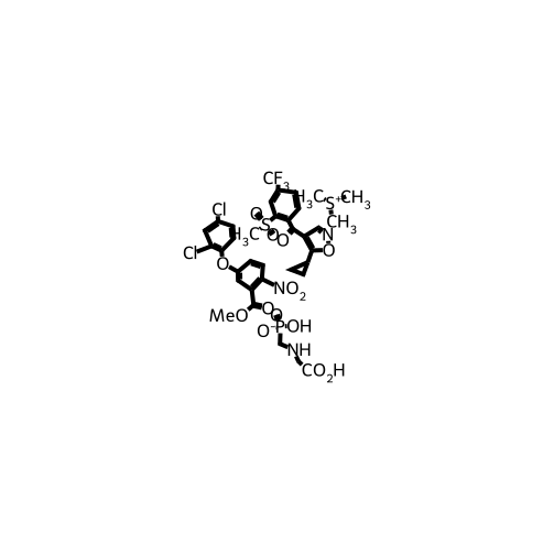 COC(=O)c1cc(Oc2ccc(Cl)cc2Cl)ccc1[N+](=O)[O-].CS(=O)(=O)c1cc(C(F)(F)F)ccc1C(=O)c1cnoc1C1CC1.C[S+](C)C.O=C(O)CNCP(=O)([O-])O